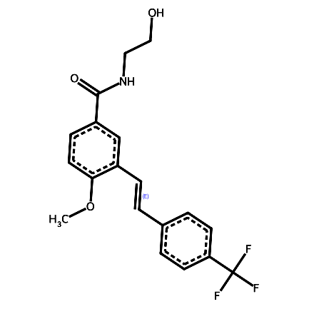 COc1ccc(C(=O)NCCO)cc1/C=C/c1ccc(C(F)(F)F)cc1